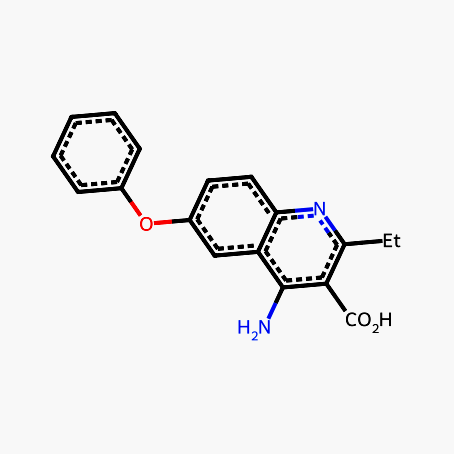 CCc1nc2ccc(Oc3ccccc3)cc2c(N)c1C(=O)O